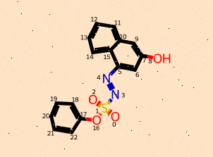 O=S(=O)(N=Nc1cc(O)cc2ccccc12)Oc1ccccc1